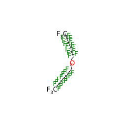 FC(F)(F)C(F)(F)C(F)(F)C(F)(F)C(F)(F)C(F)(F)C(F)(F)C(F)(F)CCOCCC(F)(F)C(F)(F)C(F)(F)C(F)(F)C(F)(F)C(F)(F)C(F)(F)C(F)(F)F